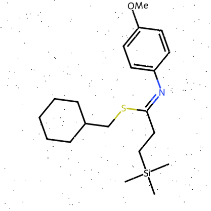 COc1ccc(N=C(CC[Si](C)(C)C)SCC2CCCCC2)cc1